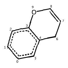 [c]1[c]cc2c(c1)CC=CO2